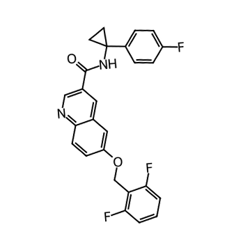 O=C(NC1(c2ccc(F)cc2)CC1)c1cnc2ccc(OCc3c(F)cccc3F)cc2c1